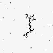 CCO[Si](CCC=CCC(CC)OCC1CO1)(OCC)OCC